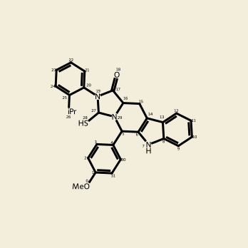 COc1ccc(C2c3[nH]c4ccccc4c3CC3C(=O)N(c4ccccc4C(C)C)C(S)N32)cc1